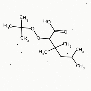 CC(C)CC(C)(C)C(OOC(C)(C)C)C(=O)O